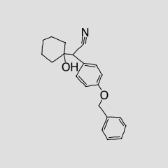 N#CC(c1ccc(OCc2ccccc2)cc1)C1(O)CCCCC1